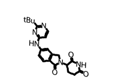 CC(C)(C)c1nccc(Nc2ccc3c(c2)CN(C2CCC(=O)NC2=O)C3=O)n1